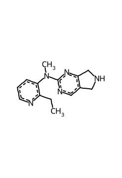 CCc1ncccc1N(C)c1ncc2c(n1)CNC2